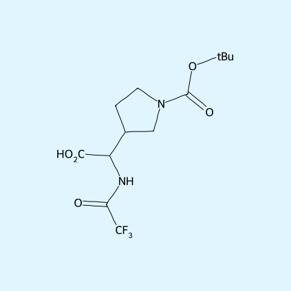 CC(C)(C)OC(=O)N1CCC(C(NC(=O)C(F)(F)F)C(=O)O)C1